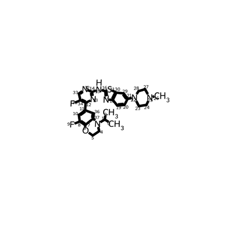 CC(C)N1CCOc2c(F)cc(-c3nc(Nc4nc5ccc(N6CCN(C)CC6)cc5s4)ncc3F)cc21